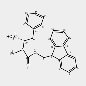 CC(C)N(C(=O)OCC1c2ccccc2-c2ccccc21)[C@@H](Cc1ccccc1)C(=O)O